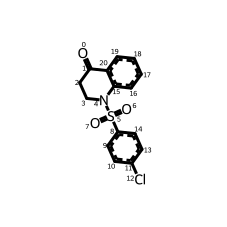 O=C1CCN(S(=O)(=O)c2ccc(Cl)cc2)c2ccccc21